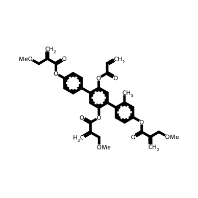 C=CC(=O)Oc1cc(-c2ccc(OC(=O)C(=C)COC)cc2C)c(OC(=O)C(=C)COC)cc1-c1ccc(OC(=O)C(=C)COC)cc1